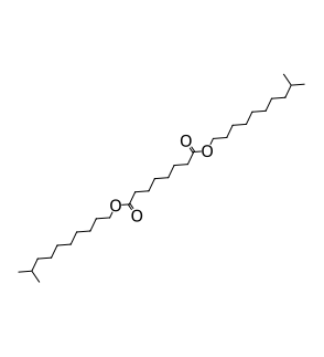 CC(C)CCCCCCCCOC(=O)CCCCCCC(=O)OCCCCCCCCC(C)C